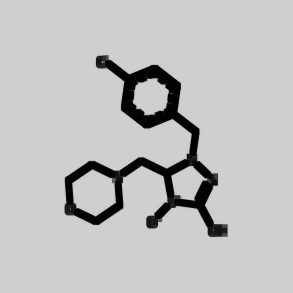 [O-][S+]1C(O)=NN(Cc2ccc(Cl)cc2)C1CN1CCOCC1